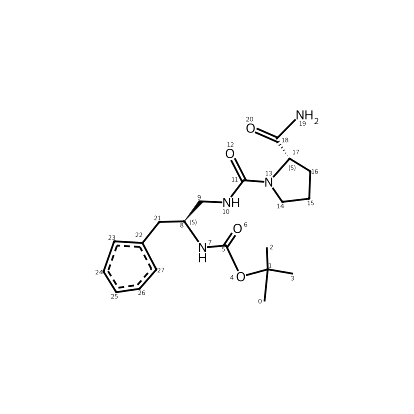 CC(C)(C)OC(=O)N[C@H](CNC(=O)N1CCC[C@H]1C(N)=O)Cc1ccccc1